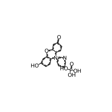 O=P(O)(O)O.O=c1ccc2nc3ccc(O)cc3oc-2c1.c1ccncc1